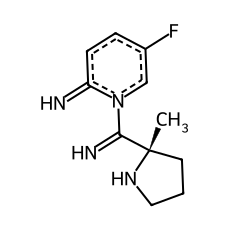 C[C@@]1(C(=N)n2cc(F)ccc2=N)CCCN1